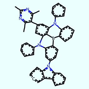 Cc1nc(C)c(-c2cc3c4c(c2)N(c2ccccc2)c2cc(-n5c6ccccc6c6ccccc65)ccc2B4c2ccccc2N3c2ccccc2)c(C)n1